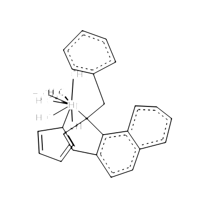 [CH3][Hf]([CH3])([CH3])([CH3])([CH3])([CH3])([CH3])([CH]1C=CC=C1)[C]1(Cc2ccccc2)C=Cc2ccc3ccccc3c21